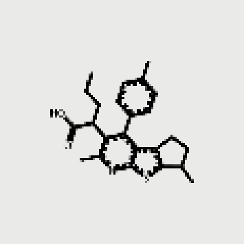 CCCC(C(=O)O)c1c(C)nc2sc3c(c2c1-c1ccc(C)cc1)CCC3C